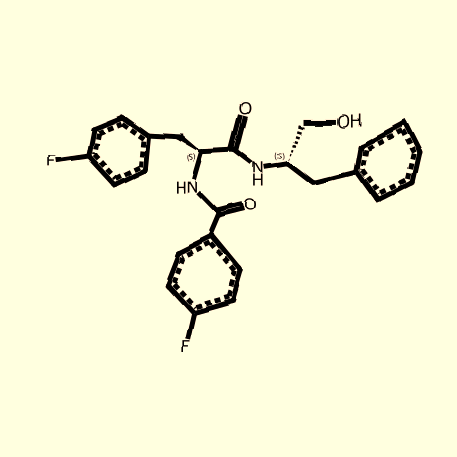 O=C(N[C@@H](Cc1ccc(F)cc1)C(=O)N[C@H](CO)Cc1ccccc1)c1ccc(F)cc1